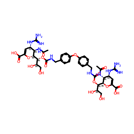 CC(=O)N[C@H]1[C@H]([C@H](OC(=O)NCc2ccc(Oc3ccc(CNC(=O)O[C@@H]([C@@H]4OC(C(=O)O)=C[C@H](NC(=N)N)[C@H]4NC(C)=O)[C@H](O)CO)cc3)cc2)[C@H](O)CO)OC(C(=O)O)=C[C@@H]1NC(=N)N